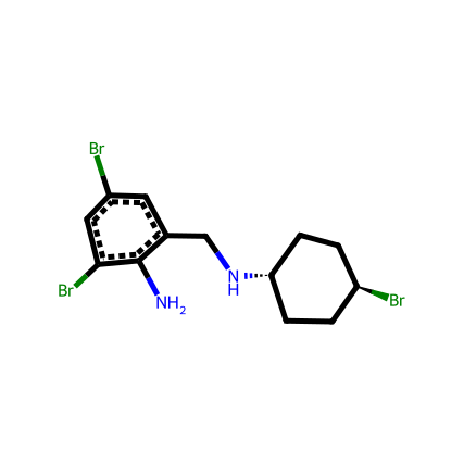 Nc1c(Br)cc(Br)cc1CN[C@H]1CC[C@H](Br)CC1